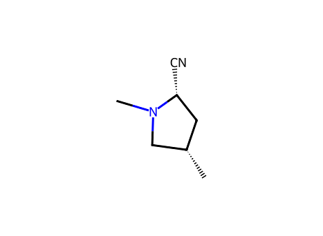 C[C@H]1C[C@@H](C#N)N(C)C1